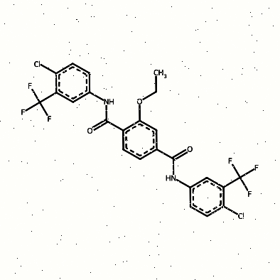 CCOc1cc(C(=O)Nc2ccc(Cl)c(C(F)(F)F)c2)ccc1C(=O)Nc1ccc(Cl)c(C(F)(F)F)c1